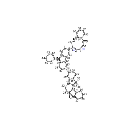 C=C1/C=C\C=C(\c2ccc3c(c2)c2cc(-c4ccc5c(c4)-c4ccc6oc7ccccc7c6c4C5(C)C)ccc2n3-c2ccccc2)CSc2ccccc21